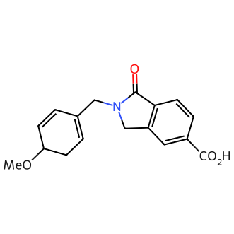 COC1C=CC(CN2Cc3cc(C(=O)O)ccc3C2=O)=CC1